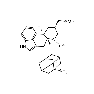 CCCN1C[C@H](CSC)C[C@@H]2c3cccc4[nH]cc(c34)C[C@H]21.NC12CC3CC(CC(C3)C1)C2